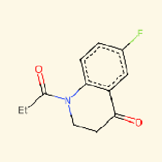 CCC(=O)N1CCC(=O)c2cc(F)ccc21